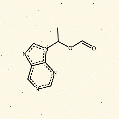 CC(OC=O)n1cnc2cncnc21